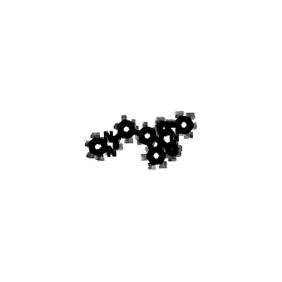 c1cc(-c2ccc3c(c2)-c2ccccc2C32c3ccccc3-n3c4ccccc4c4cccc2c43)cc(-c2cnc3ccccc3n2)c1